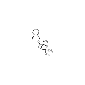 CC1(C)OC2(C)CC1CC2OCc1ccccc1F